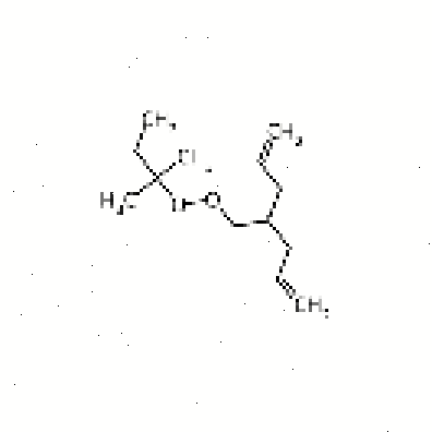 C=CC[C](CC=C)COOC(C)(C)CC